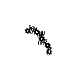 C[C@@H](NC(=O)[C@H]1CC[C@H](NS(=O)(=O)c2ccc3[nH]c(-c4ccc(CN5CCOCC5)cc4)nc3c2)CC1)c1ccccc1